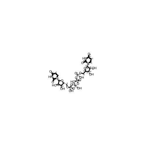 O=c1ccn(C2O[C@H](COP(=O)(O)OP(=O)(O)OP(=O)(O)OP(=O)(O)OCC3O[C@@H](n4ccc(=O)[nH]c4=O)[C@H](O)[C@@H]3O)[C@@H](O)[C@H]2O)c(=O)[nH]1